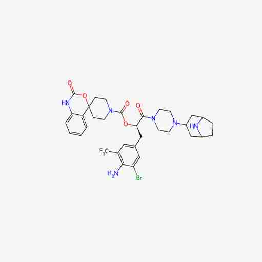 Nc1c(Br)cc(C[C@@H](OC(=O)N2CCC3(CC2)OC(=O)Nc2ccccc23)C(=O)N2CCN(C3CC4CCC(C3)N4)CC2)cc1C(F)(F)F